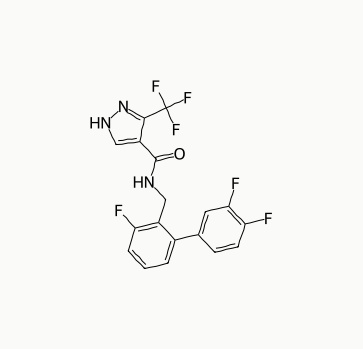 O=C(NCc1c(F)cccc1-c1ccc(F)c(F)c1)c1c[nH]nc1C(F)(F)F